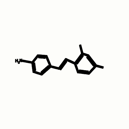 Cc1ccc(/C=C/c2ccc(N)cc2)c(C)c1